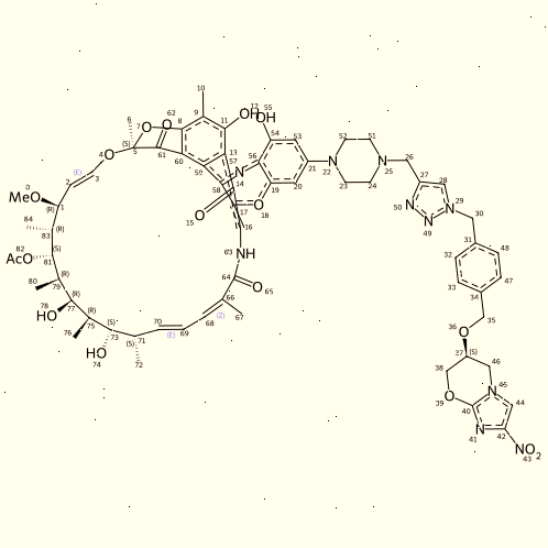 CO[C@H]1/C=C/O[C@@]2(C)Oc3c(C)c(O)c4c(=O)c(c5oc6cc(N7CCN(Cc8cn(Cc9ccc(CO[C@@H]%10COc%11nc([N+](=O)[O-])cn%11C%10)cc9)nn8)CC7)cc(O)c6nc-5c4c3C2=O)NC(=O)/C(C)=C\C=C\[C@H](C)[C@H](O)[C@@H](C)[C@@H](O)[C@@H](C)[C@H](OC(C)=O)[C@@H]1C